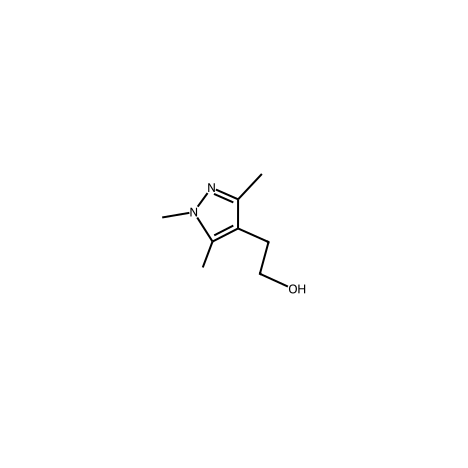 Cc1nn(C)c(C)c1CCO